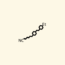 CCC1CCC(CCC2CCC(CCC=CC=CC#N)CC2)CC1